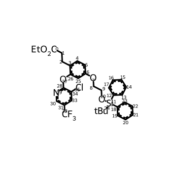 CCOC(=O)CCc1ccc(OCCO[Si](c2ccccc2)(c2ccccc2)C(C)(C)C)cc1Oc1ncc(C(F)(F)F)cc1Cl